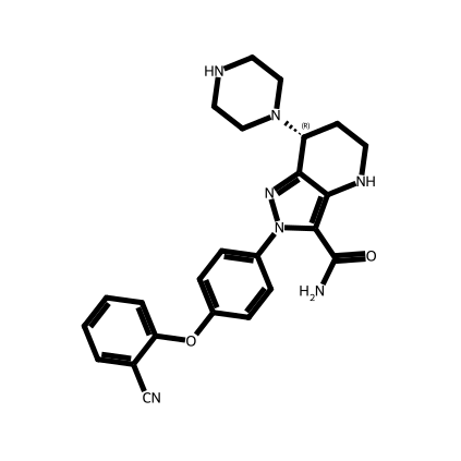 N#Cc1ccccc1Oc1ccc(-n2nc3c(c2C(N)=O)NCC[C@H]3N2CCNCC2)cc1